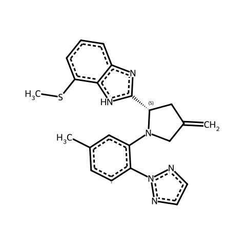 C=C1C[C@@H](c2nc3cccc(SC)c3[nH]2)N(c2cc(C)c[c]c2-n2nccn2)C1